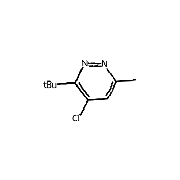 Cc1cc(Cl)c(C(C)(C)C)nn1